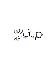 C/C(=C/C(=O)OC1CCCC1)C(=O)O